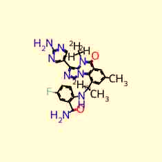 [2H]C([2H])([2H])n1c(=O)c2cc(C)cc([C@]([2H])(C)Nc3ccc(F)cc3C(N)=O)c2n2cnc(-c3cnc(N)nc3)c12